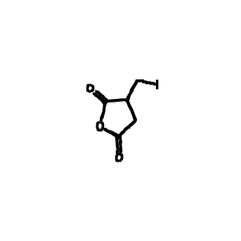 O=C1CC(CI)C(=O)O1